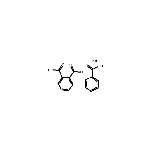 O=C(O)c1ccccc1.O=C(O)c1ccccc1C(=O)O.[NaH]